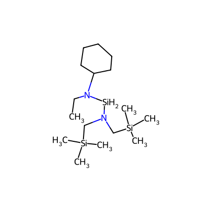 CCN([SiH2]N(C[Si](C)(C)C)C[Si](C)(C)C)C1CCCCC1